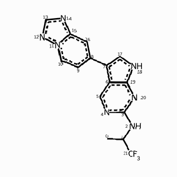 CC(Nc1ncc2c(-c3ccn4ncnc4c3)c[nH]c2n1)C(F)(F)F